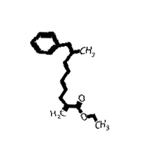 C=C(CCCCCC(C)Cc1ccccc1)C(=O)OCC